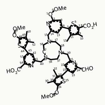 COOc1cc(-c2sc(C(=O)O)c(C)c2C)cc(CN2CCN(Cc3cc(-c4sc(OOC)c(C)c4C)cc(C=O)n3)CCN(Cc3cc(-c4sc(OOC)c(C)c4C)cc(C(=O)O)n3)CC2)n1